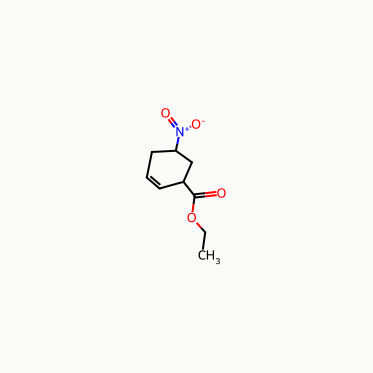 CCOC(=O)C1C=CCC([N+](=O)[O-])C1